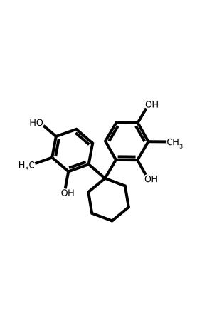 Cc1c(O)ccc(C2(c3ccc(O)c(C)c3O)CCCCC2)c1O